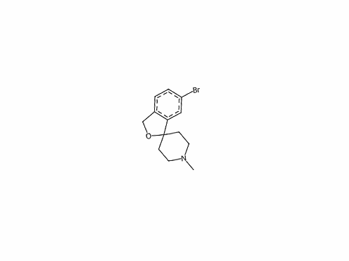 CN1CCC2(CC1)OCc1ccc(Br)cc12